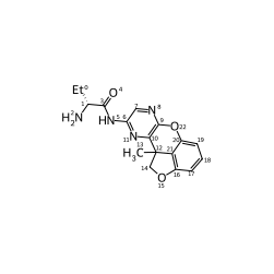 CC[C@@H](N)C(=O)Nc1cnc2c(n1)C1(C)COc3cccc(c31)O2